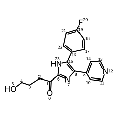 O=C(CCCO)c1nc(-c2ccncc2)c(-c2ccc(F)cc2)[nH]1